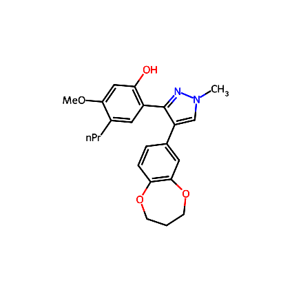 CCCc1cc(-c2nn(C)cc2-c2ccc3c(c2)OCCCO3)c(O)cc1OC